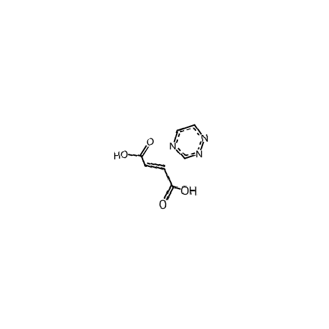 O=C(O)C=CC(=O)O.c1cnncn1